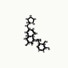 Cc1nc(Nc2cccc(C)c2C)c2ncc(CN3CCCC3)cc2n1